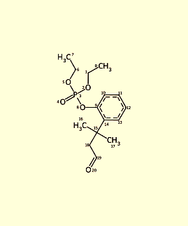 CCOP(=O)(OCC)Oc1ccccc1C(C)(C)CC=O